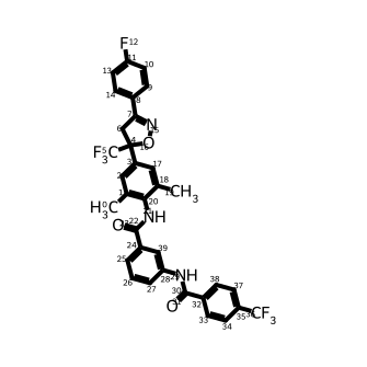 Cc1cc(C2(C(F)(F)F)CC(c3ccc(F)cc3)=NO2)cc(C)c1NC(=O)c1cccc(NC(=O)c2ccc(C(F)(F)F)cc2)c1